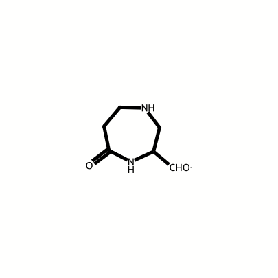 O=[C]C1CNCCC(=O)N1